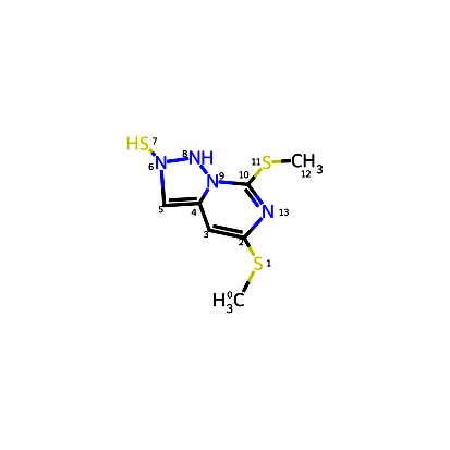 CSC1=CC2=CN(S)NN2C(SC)=N1